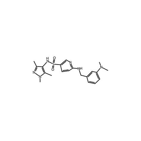 Cc1nn(C)c(C)c1NS(=O)(=O)c1ccc(NCc2cccc(N(C)C)c2)nc1